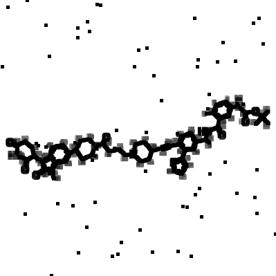 Cc1ccc(NC(=O)OC(C)(C)C)cc1C(=O)NC(C)c1ccc(C#CC2CCN(CCCC(=O)N3CCC(c4ccc5c(c4)n(C)c(=O)n5C4CCC(=O)NC4=O)CC3)CC2)c(-c2cccs2)c1